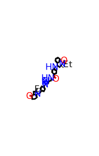 CCC(=O)N1c2ccccc2[C@H](Nc2ccc(C(=O)NCc3cn(-c4ccc(Cn5c(CC)cc6c5CCCC6=O)cc4)nn3)cc2)C[C@@H]1C